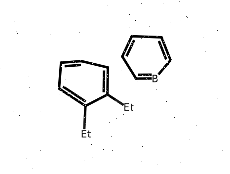 CCc1ccccc1CC.b1ccccc1